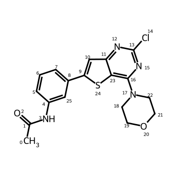 CC(=O)Nc1cccc(-c2cc3nc(Cl)nc(N4CCOCC4)c3s2)c1